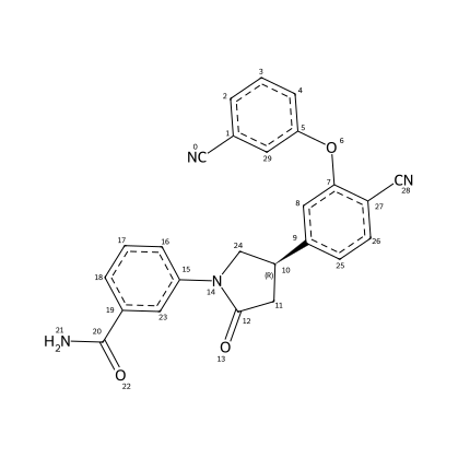 N#Cc1cccc(Oc2cc([C@H]3CC(=O)N(c4cccc(C(N)=O)c4)C3)ccc2C#N)c1